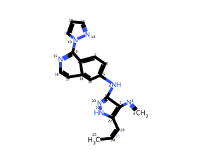 C=Nc1c(Nc2ccc3c(-n4cccn4)nccc3c2)n[nH]c1/C=C\C